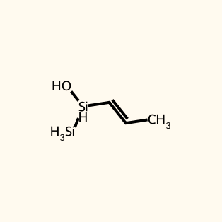 CC=C[SiH](O)[SiH3]